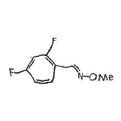 CO/N=C/c1ccc(F)[c]c1F